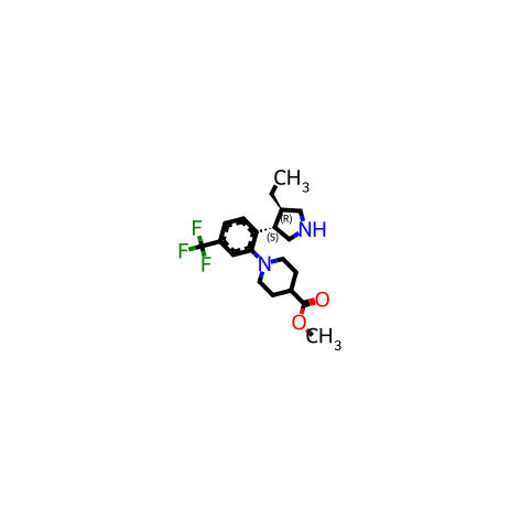 CC[C@H]1CNC[C@@H]1c1ccc(C(F)(F)F)cc1N1CCC(C(=O)OC)CC1